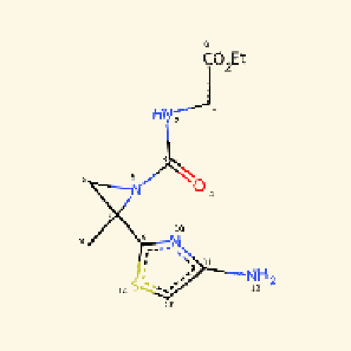 CCOC(=O)CNC(=O)N1CC1(C)c1nc(N)cs1